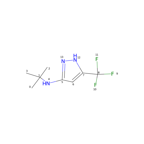 CC(C)(C)Nc1cc(C(F)(F)F)[nH]n1